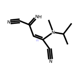 CC(C)N(C)/C(C#N)=C\C(=N)C#N